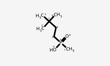 CC(C)(C)CCP(C)(=O)O